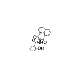 O=C(NN1C(=O)c2cccc3cccc(c23)C1=O)c1ccccc1O